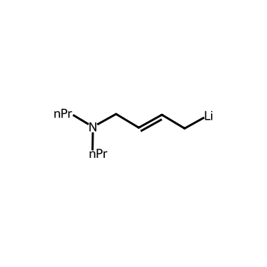 [Li][CH2]C=CCN(CCC)CCC